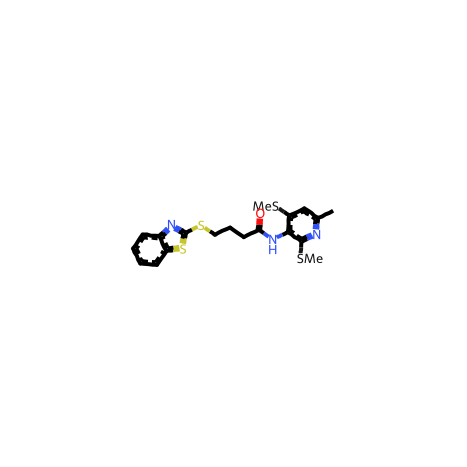 CSc1cc(C)nc(SC)c1NC(=O)CCCSc1nc2ccccc2s1